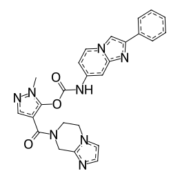 Cn1ncc(C(=O)N2CCn3ccnc3C2)c1OC(=O)Nc1ccn2cc(-c3ccccc3)nc2c1